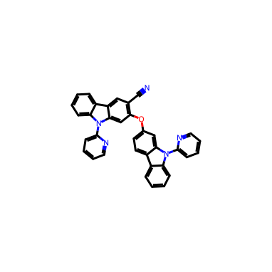 N#Cc1cc2c3ccccc3n(-c3ccccn3)c2cc1Oc1ccc2c3ccccc3n(-c3ccccn3)c2c1